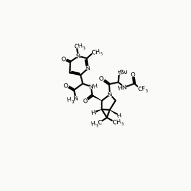 Cc1nc(C(NC(=O)[C@@H]2[C@@H]3[C@H](CN2C(=O)C(NC(=O)C(F)(F)F)C(C)(C)C)C3(C)C)C(N)=O)cc(=O)n1C